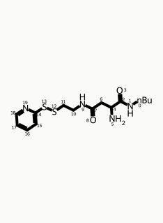 CCCCNC(=O)C(N)CC(=O)NCCSSc1ccccn1